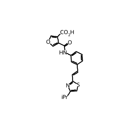 CC(C)c1csc(C=Cc2cccc(NC(=O)c3cocc3C(=O)O)c2)n1